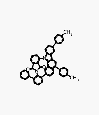 Cc1ccc(-c2ccc3c(c2)c2cc(-c4ccc(C)cc4)ccc2n3-c2cccc3c2C(=O)N(c2c(-c4ccccc4)cccc2-c2ccccc2)C3=O)cc1